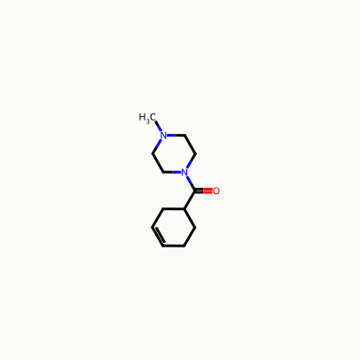 CN1CCN(C(=O)C2CC=CCC2)CC1